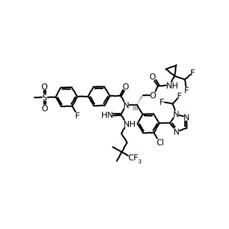 CC(C)(CCNC(=N)N(C(=O)c1ccc(-c2ccc(S(C)(=O)=O)cc2F)cc1)[C@H](COC(=O)NC1(C(F)F)CC1)c1ccc(Cl)c(-c2ncnn2C(F)F)c1)C(F)(F)F